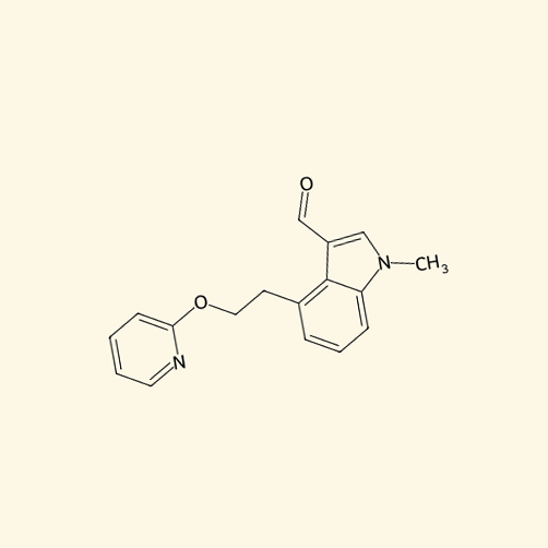 Cn1cc(C=O)c2c(CCOc3ccccn3)cccc21